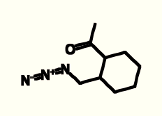 CC(=O)C1CCCCC1CN=[N+]=[N-]